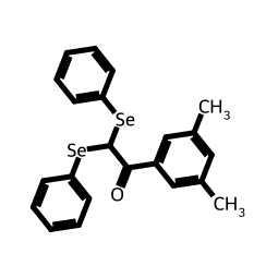 Cc1cc(C)cc(C(=O)C([Se]c2ccccc2)[Se]c2ccccc2)c1